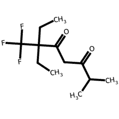 CCC(CC)(C(=O)CC(=O)C(C)C)C(F)(F)F